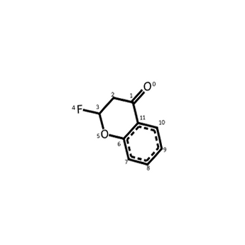 O=C1CC(F)Oc2ccccc21